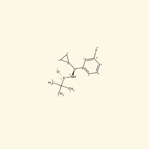 CC(C)(C)[S@+]([O-])N[C@H](c1cccc(F)c1)C1CC1